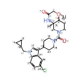 O=C1CO[C@H]2CCN(C(=O)N3CCC(c4cn(CC5CC5)c5ccc(Cl)cc45)CC3)C[C@@H]2N1